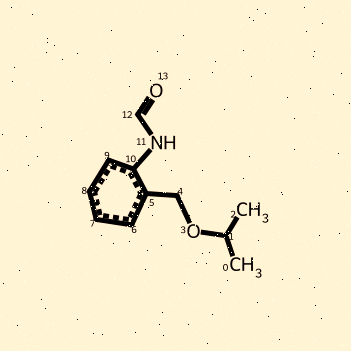 CC(C)OCc1ccccc1NC=O